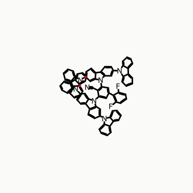 N#Cc1c(-n2c3cc(-n4c5ccccc5c5ccccc54)ccc3c3ccc(-n4c5ccccc5c5ccccc54)cc32)cc(-c2c(F)cccc2F)cc1-n1c2cc(-n3c4ccccc4c4ccccc43)ccc2c2ccc(-n3c4ccccc4c4ccccc43)cc21